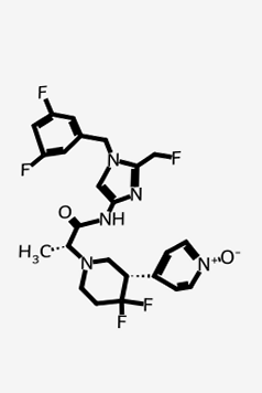 C[C@H](C(=O)Nc1cn(Cc2cc(F)cc(F)c2)c(CF)n1)N1CCC(F)(F)[C@@H](c2cc[n+]([O-])cc2)C1